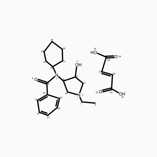 CCN1CC(O)C(N(C(=O)c2ccccc2)C2CCCCC2)C1.O=C(O)C=CC(=O)O